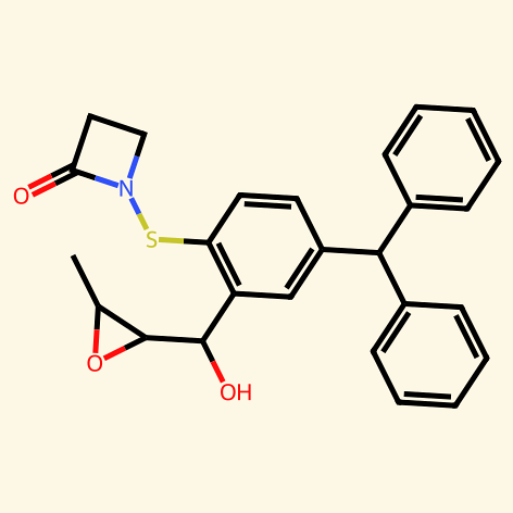 CC1OC1C(O)c1cc(C(c2ccccc2)c2ccccc2)ccc1SN1CCC1=O